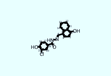 O=C(NN=Cc1ccc(O)c2ccccc12)c1ccc(O)c(Cl)c1